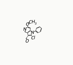 COc1cc2c(cn1)c(C=O)c(Cl)n2-c1ccccc1